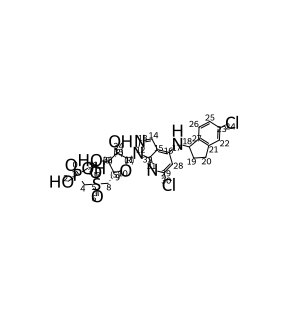 O=P(O)(O)CS(=O)(=O)C[C@H]1O[C@@H](n2ncc3c(NC4CCc5cc(Cl)ccc54)cc(Cl)nc32)[C@H](O)[C@@H]1O